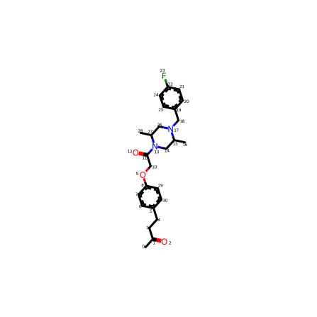 CC(=O)CCc1ccc(OCC(=O)N2CC(C)N(Cc3ccc(F)cc3)CC2C)cc1